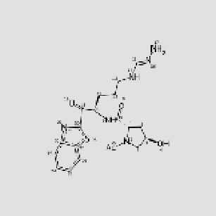 CC(=O)N1C[C@H](O)C[C@H]1C(=O)N[C@H](CCCNC=NN)C(=O)c1nc2ccccc2s1